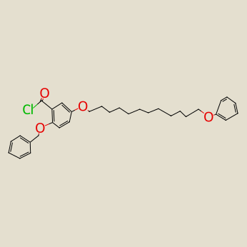 O=C(Cl)c1cc(OCCCCCCCCCCCCOc2ccccc2)ccc1OCc1ccccc1